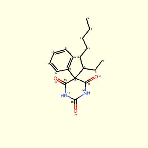 CCCCCC(CC)C1(c2ccccc2)C(=O)NC(=O)NC1=O